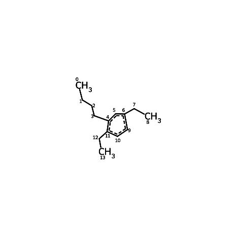 CCCCc1cc(CC)ccc1CC